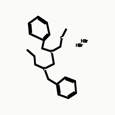 Br.Br.CCCP(Cc1ccccc1)CP(CCC)Cc1ccccc1